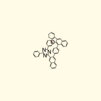 C1=Cc2c(oc3c(-c4ccc(-c5cc6ccccc6cc5-c5nc(-c6ccccc6)nc(-c6ccccc6)n5)cc4)c4ccccc4cc23)CC1